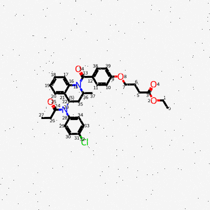 CCOC(=O)CCCOc1ccc(C(=O)N2c3ccccc3[C@@H](N(C(=O)CC)c3ccc(Cl)cc3)CC2C)cc1